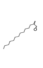 C=C(C=O)CCCCCCCCCCCC